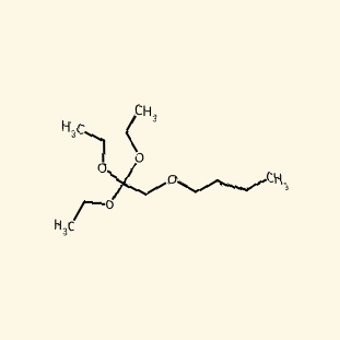 CCCCOCC(OCC)(OCC)OCC